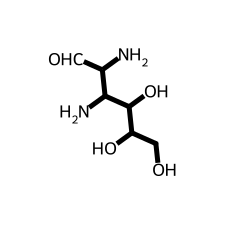 NC(C=O)C(N)C(O)C(O)CO